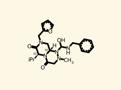 CC(C)[C@H]1C(=O)N(Cc2ccco2)C[C@H]2N1C(=O)CN(C)N2C(O)NCc1ccccc1